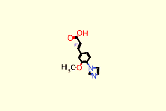 COc1cc(/C=C/C(=O)O)ccc1-n1ccnc1